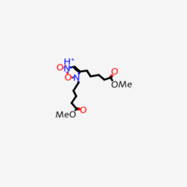 COC(=O)CCCCC1=C[NH+]([O-])ON1CCCCC(=O)OC